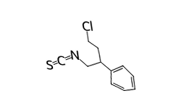 S=C=NCC(CCCl)c1ccccc1